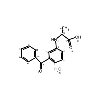 C[C@H](Nc1cccc(C(=O)c2ccccc2)c1)C(=O)O.O